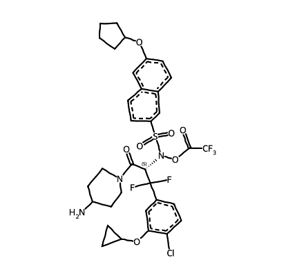 NC1CCN(C(=O)[C@H](N(OC(=O)C(F)(F)F)S(=O)(=O)c2ccc3cc(OC4CCCC4)ccc3c2)C(F)(F)c2ccc(Cl)c(OC3CC3)c2)CC1